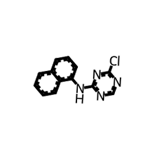 Clc1ncnc(Nc2cccc3ccccc23)n1